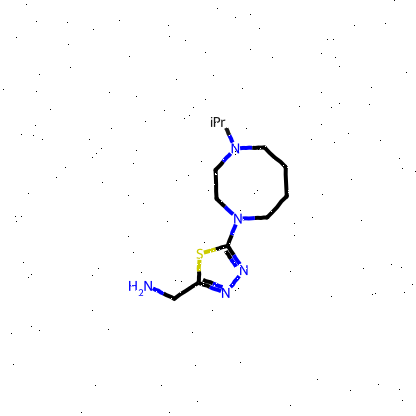 CC(C)N1CCCCN(c2nnc(CN)s2)CC1